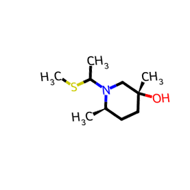 CSC(C)N1C[C@](C)(O)CC[C@H]1C